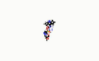 COC1(C)COc2c(S(=O)(=O)NC(=O)Nc3c4c(nc5c3CCC5)CCC4)cnn2C1